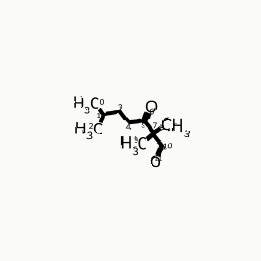 CC(C)CCC(=O)C(C)(C)C=O